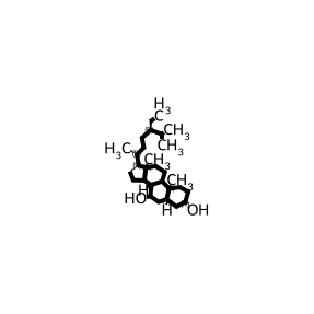 CC[C@H](CC[C@@H](C)[C@H]1CCC2[C@@H]3C(O)C[C@@H]4C[C@H](O)CC[C@]4(C)C3CC[C@@]21C)C(C)C